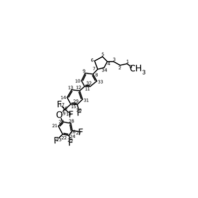 CCCCC1CCC(c2ccc(-c3ccc(C(F)(F)Oc4cc(F)c(F)c(F)c4)c(F)c3)cc2)C1